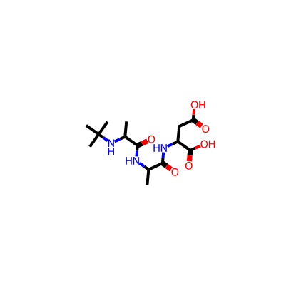 CC(NC(=O)C(C)NC(C)(C)C)C(=O)NC(CC(=O)O)C(=O)O